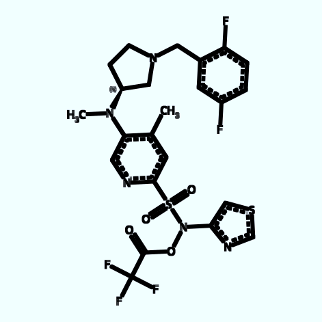 Cc1cc(S(=O)(=O)N(OC(=O)C(F)(F)F)c2cscn2)ncc1N(C)[C@H]1CCN(Cc2cc(F)ccc2F)C1